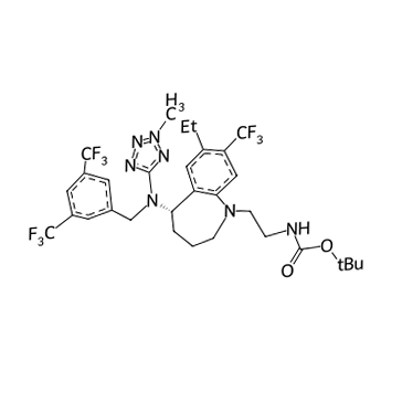 CCc1cc2c(cc1C(F)(F)F)N(CCNC(=O)OC(C)(C)C)CCC[C@@H]2N(Cc1cc(C(F)(F)F)cc(C(F)(F)F)c1)c1nnn(C)n1